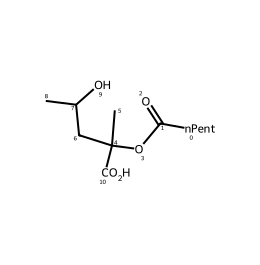 CCCCCC(=O)OC(C)(CC(C)O)C(=O)O